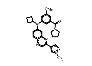 COc1cc(C(=O)N2CCCC2)cc(N(c2ccc3ncc(-c4cnn(C)c4)nc3c2)C2CCC2)c1